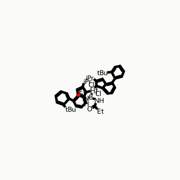 CCC(=O)N[B](NC(=O)CC)[Hf]([Cl])([Cl])([CH]1C(C(C)C)=Cc2c(-c3ccccc3C(C)(C)C)cccc21)[CH]1C(C(C)C)=Cc2c(-c3ccccc3C(C)(C)C)cccc21